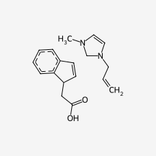 C=CCN1C=CN(C)C1.O=C(O)CC1C=Cc2ccccc21